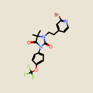 CC1(C)C(=O)N(c2ccc(OC(F)(F)F)cc2)C(=O)N1CCc1ccnc(Br)c1